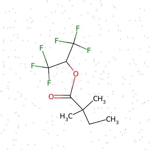 CCC(C)(C)C(=O)OC(C(F)(F)F)C(F)(F)F